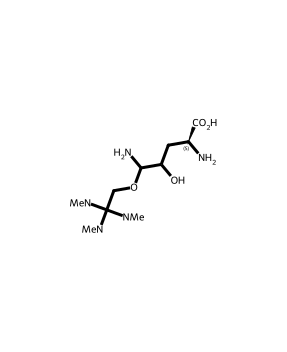 CNC(COC(N)C(O)C[C@H](N)C(=O)O)(NC)NC